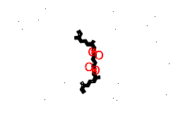 C=CC(C)CCC=C(C)COC(=O)CCC(=O)OCC(C)=CCCC(C)C=C